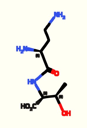 C[C@@H](O)[C@H](NC(=O)[C@@H](N)CCN)C(=O)O